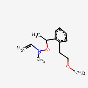 C=CN(C)OC(C)c1ccccc1CCOC=O